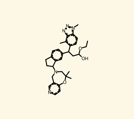 CCOC(O)CC(c1ccc2c(c1)C(N1Cc3cnccc3OC(C)(C)C1)CC2)c1ccc2c(nnn2C)c1C